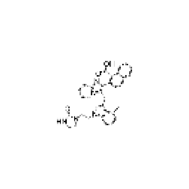 Cc1cccc2c1c(Cc1c(-c3ccc4ccccc4c3C(=O)O)nc3ccccn13)cn2CCN1CCNC1=O